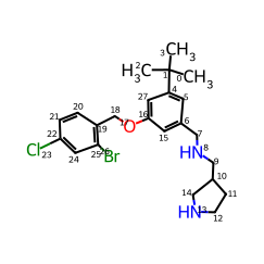 CC(C)(C)c1cc(CNCC2CCNC2)cc(OCc2ccc(Cl)cc2Br)c1